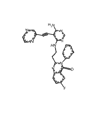 Nc1ncnc(NCCc2nc3ccc(F)cc3c(=O)n2-c2ccccc2)c1C#Cc1cnccn1